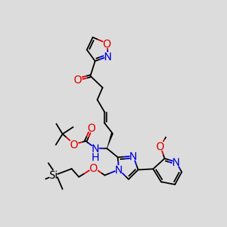 COc1ncccc1-c1cn(COCC[Si](C)(C)C)c([C@H](CC=CCCC(=O)c2ccon2)NC(=O)OC(C)(C)C)n1